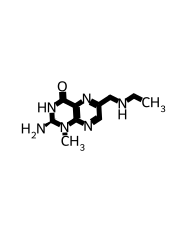 CCNCc1cnc2c(n1)C(=O)N[C@H](N)N2C